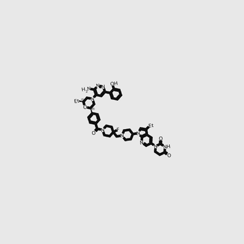 CCc1cn(C2CCN(CC3(F)CCN(C(=O)c4ccc([C@@H]5CN(c6cc(-c7ccccc7O)nnc6N)C[C@H](CC)O5)cc4)CC3)CC2)c2ncc(N3CCC(=O)NC3=O)cc12